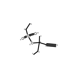 C#CC(C)(CC)OS(=O)(=O)CC